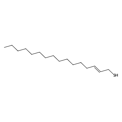 CCCCCCCCCCCCCC=CCS